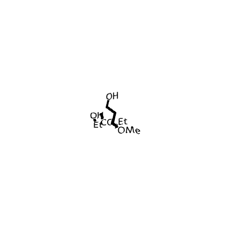 CCO.CCOC(C)=O.COCCCO